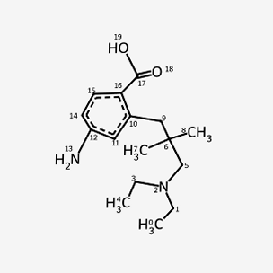 CCN(CC)CC(C)(C)Cc1cc(N)ccc1C(=O)O